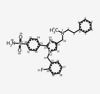 CN(CCc1ccccc1)Cc1cn(Cc2ccccc2F)c(-c2ccc(S(N)(=O)=O)cc2)n1